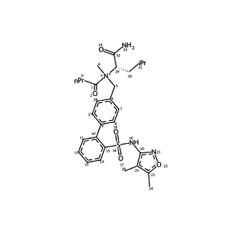 CCCC(=O)[N+](C)(Cc1ccc(-c2ccccc2S(=O)(=O)Nc2noc(C)c2C)cc1)[C@@H](CC(C)C)C(N)=O